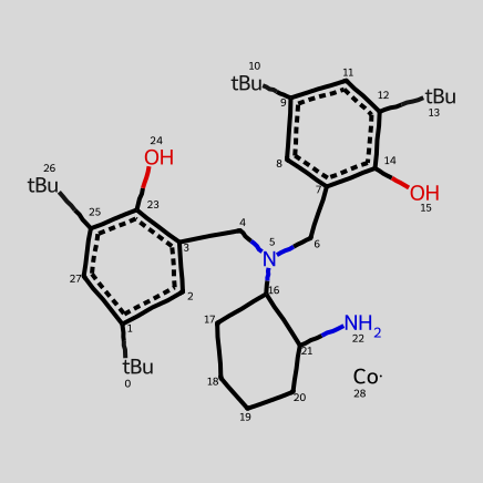 CC(C)(C)c1cc(CN(Cc2cc(C(C)(C)C)cc(C(C)(C)C)c2O)C2CCCCC2N)c(O)c(C(C)(C)C)c1.[Co]